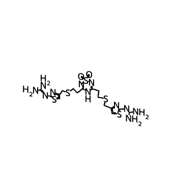 NC(N)=Nc1nc(CSCCC2=NS(=O)(=O)N=C(CCSCc3csc(N=C(N)N)n3)N2)cs1